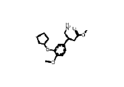 COC(=O)CC(CN)c1ccc(OC)c(OC2CCCC2)c1